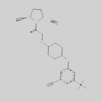 C#C[C@H]1CC[C@H](C#N)N1C(=O)CNC1CCC(Oc2cc(C#N)cc(C(F)(F)F)c2)CC1